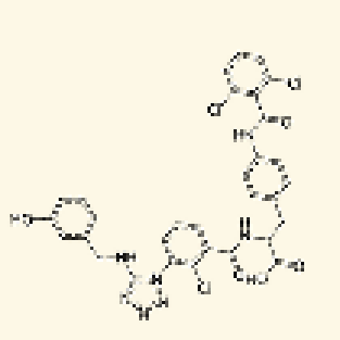 O=C(NC(Cc1ccc(NC(=O)c2c(Cl)cccc2Cl)cc1)C(=O)O)c1cccc(-n2nnnc2NCc2cccc(O)c2)c1Cl